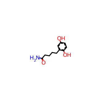 NC(=O)CCCCc1cc(O)ccc1O